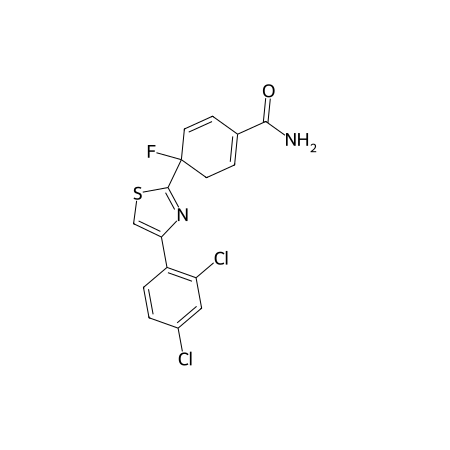 NC(=O)C1=CCC(F)(c2nc(-c3ccc(Cl)cc3Cl)cs2)C=C1